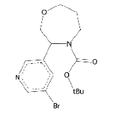 CC(C)(C)OC(=O)N1CCCOCC1c1cncc(Br)c1